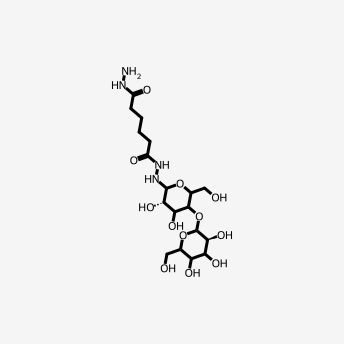 NNC(=O)CCCCC(=O)NNC1OC(CO)C(OC2OC(CO)C(O)C(O)[C@@H]2O)C(O)[C@@H]1O